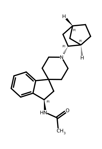 CC(=O)N[C@@H]1CC2(CCN([C@@H]3C[C@@H]4CC[C@@H]3C4)CC2)c2ccccc21